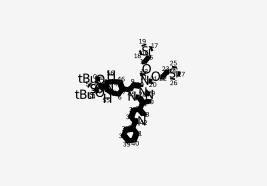 CC(C)(C)OC(=O)N1[C@@H]2CC(c3cc(N(COCC[Si](C)(C)C)COCC[Si](C)(C)C)n4ncc(-c5ccc(-c6ccccc6)nc5)c4n3)=C[C@H]1CC2O[Si](C)(C)C(C)(C)C